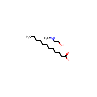 CCCCCCCCCCCC(=O)O.CNCCO